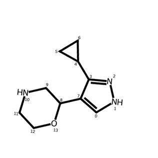 c1[nH]nc(C2CC2)c1C1CNCCO1